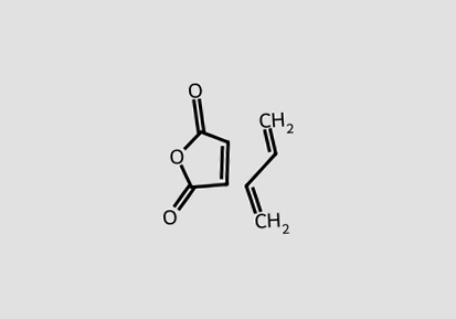 C=CC=C.O=C1C=CC(=O)O1